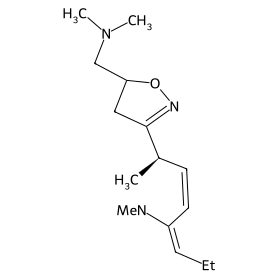 CC/C=C(\C=C/[C@@H](C)C1=NOC(CN(C)C)C1)NC